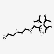 CC(C)[Si](C(C)C)(C(C)C)C(S)COCCOCCS